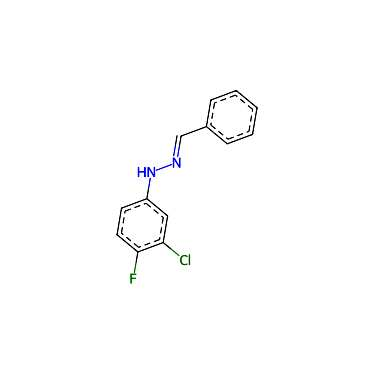 Fc1ccc(NN=Cc2ccccc2)cc1Cl